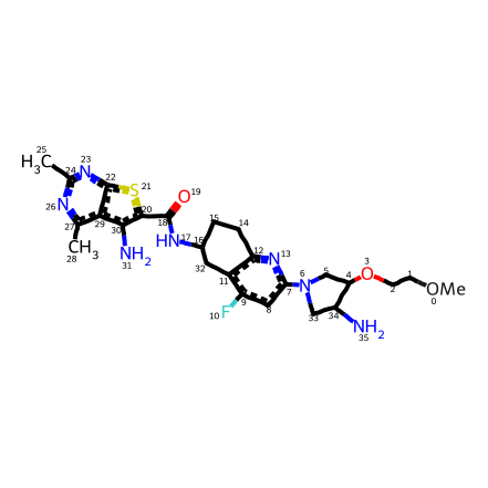 COCCOC1CN(c2cc(F)c3c(n2)CCC(NC(=O)c2sc4nc(C)nc(C)c4c2N)C3)CC1N